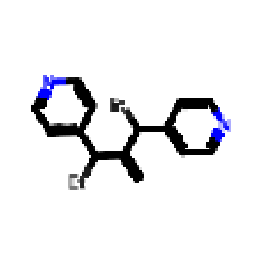 C=C(C(CC)c1ccncc1)C(CC)c1ccncc1